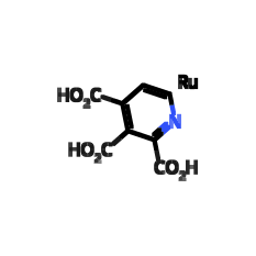 O=C(O)c1ccnc(C(=O)O)c1C(=O)O.[Ru]